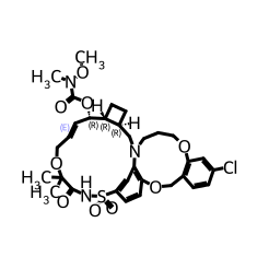 CON(C)C(=O)O[C@H]1/C=C/COC(C)(C)C(=O)NS(=O)(=O)c2ccc3c(c2)N(CCCOc2cc(Cl)ccc2CO3)C[C@@H]2CC[C@H]21